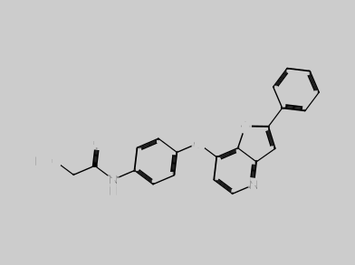 CCC(=O)Nc1ccc(Oc2ccnc3cc(-c4ccccc4)oc23)cc1